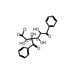 O=C(c1ccccc1)C(O)[C@@H](O)[C@](O)(C(=O)c1ccccc1)[C@@H](O)C(=O)Cl